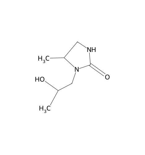 CC(O)CN1C(=O)NCC1C